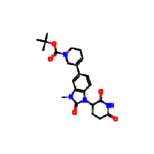 Cn1c(=O)n(C2CCC(=O)NC2=O)c2ccc(C3=CCCN(C(=O)OC(C)(C)C)C3)cc21